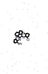 CC(C)c1cccc(C(C)C)c1/N=C1/C(=N/c2c(Cl)cccc2Cl)c2cccc3cccc1c23